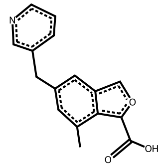 Cc1cc(Cc2cccnc2)cc2coc(C(=O)O)c12